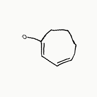 [O]C1=CC=CCCC1